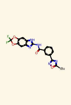 CC(C)(C)c1nc(-c2cccc(C(=O)Nc3nc4cc5c(cc4[nH]3)OC(F)(F)O5)c2)no1